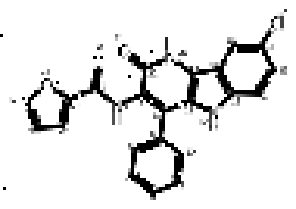 O=C(Nc1c(-c2ccccc2)c2[nH]c3ccc(Cl)cc3c2[nH]c1=O)c1ccno1